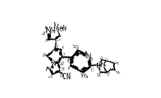 CN/C=C(\C=N)c1cc(-c2ccc(N3CC4CCC(C3)N4)nc2)c2c(C#N)cnn2c1